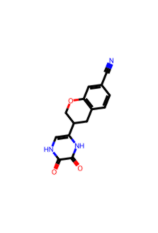 N#Cc1ccc2c(c1)OCC(c1c[nH]c(=O)c(=O)[nH]1)C2